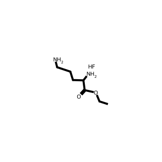 CCOC(=O)C(N)CCCN.F